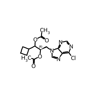 CC(=O)OC(C1CCC1)[C@@H](Cn1cnc2c(Cl)ncnc21)OC(C)=O